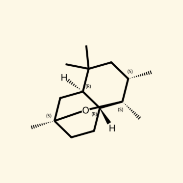 C[C@H]1CC(C)(C)[C@@H]2C[C@]3(C)CC[C@H]2[C@@]1(C)O3